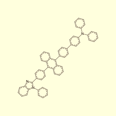 c1ccc(N(c2ccccc2)c2ccc(-c3ccc(-c4c5ccccc5c(-c5ccc(-c6nc7ccccc7n6-c6ccccc6)cc5)c5ccccc45)cc3)cc2)cc1